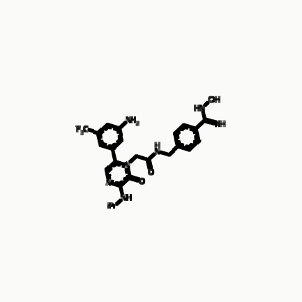 CC(C)Nc1ncc(-c2cc(N)cc(C(F)(F)F)c2)n(CC(=O)NCc2ccc(C(=N)NO)cc2)c1=O